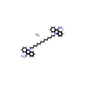 Nc1c2c([n+](CCCCCCCCCCCCCC[n+]3c4c(c(N)c5ccccc53)CCCC4)c3ccccc13)CCCC2.[I-].[I-]